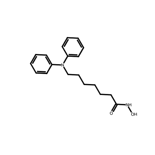 O=C(CCCCCCN(c1ccccc1)c1ccccc1)NO